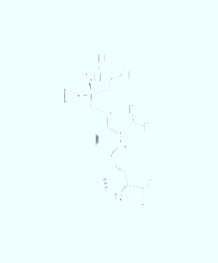 CC(C)C[C@](N)(COc1ccc(-c2ccnc(C(F)F)c2)nc1C(F)F)C1CC1